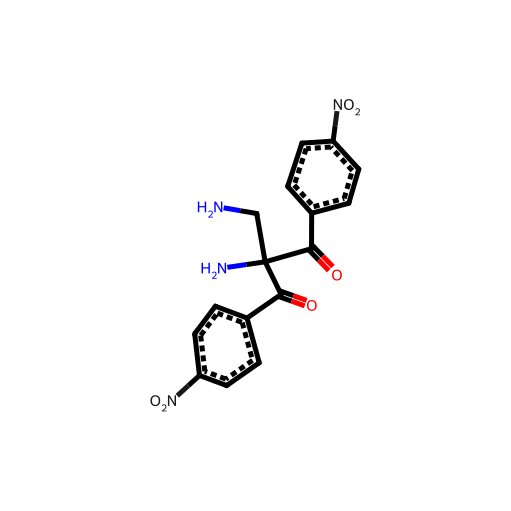 NCC(N)(C(=O)c1ccc([N+](=O)[O-])cc1)C(=O)c1ccc([N+](=O)[O-])cc1